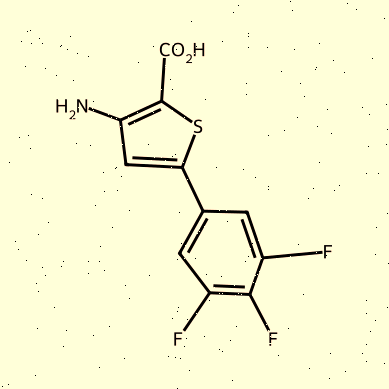 Nc1cc(-c2cc(F)c(F)c(F)c2)sc1C(=O)O